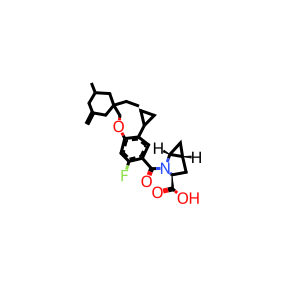 C=C1CC(C)CC(CC)(COc2cc(F)c(C(=O)N3[C@@H]4C[C@@H]4C[C@H]3C(=O)O)cc2C2CC2)C1